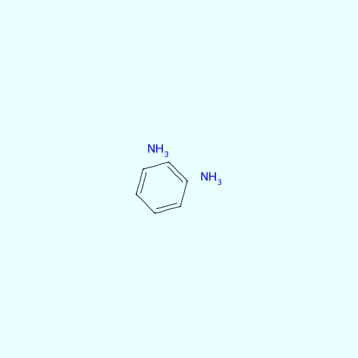 N.N.c1ccccc1